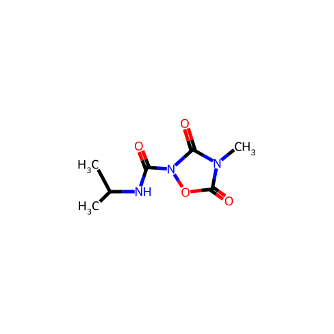 CC(C)NC(=O)n1oc(=O)n(C)c1=O